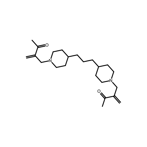 C=C(CN1CCC(CCCC2CCN(CC(=C)C(C)=O)CC2)CC1)C(C)=O